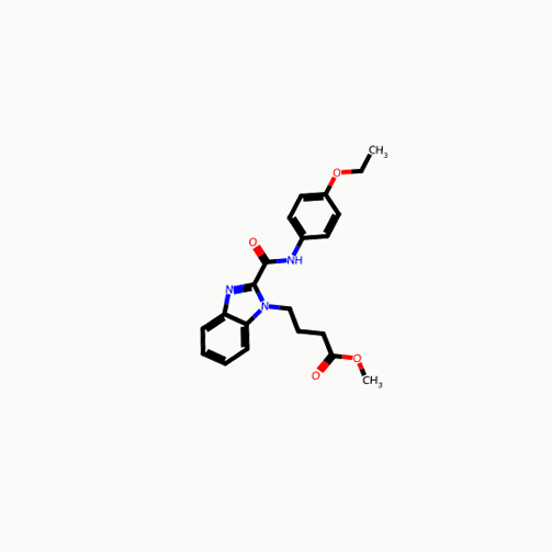 CCOc1ccc(NC(=O)c2nc3ccccc3n2CCCC(=O)OC)cc1